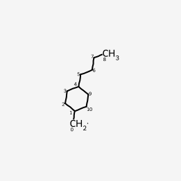 [CH2]C1CCC(CCCC)CC1